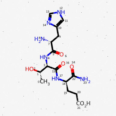 C[C@H](O)[C@@H](NC(=O)[C@H](N)Cc1c[nH]cn1)C(=O)N[C@H](CCC(=O)O)C(N)=O